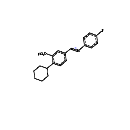 O=C(O)c1cc(/C=N/c2ccc(F)cc2)ccc1C1CCCCC1